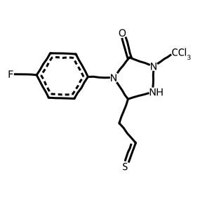 O=C1N(c2ccc(F)cc2)C(CC=S)NN1C(Cl)(Cl)Cl